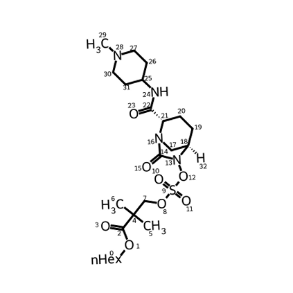 CCCCCCOC(=O)C(C)(C)COS(=O)(=O)ON1C(=O)N2C[C@H]1CC[C@H]2C(=O)NC1CCN(C)CC1